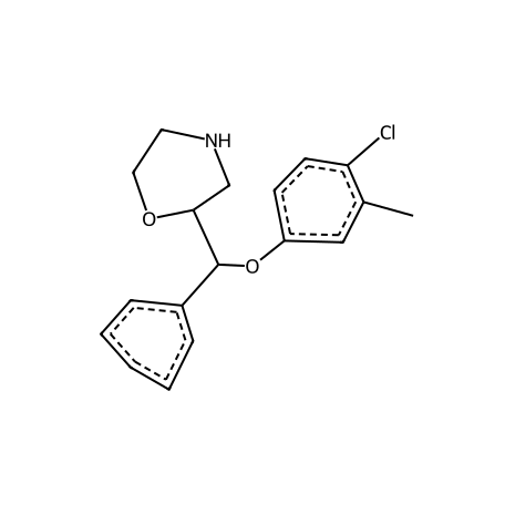 Cc1cc(OC(c2ccccc2)C2CNCCO2)ccc1Cl